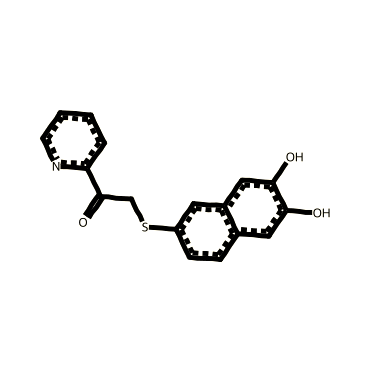 O=C(CSc1ccc2cc(O)c(O)cc2c1)c1ccccn1